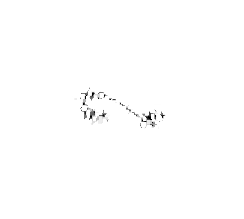 CNC(=O)COc1cc2cc(Nc3nc(N4CCC(OCCOCCOCCOCCNc5cccc6c5C(=O)N(C5CCC(=O)NC5=O)C6=O)CC4)ncc3Cl)ccc2n(C)c1=O